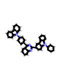 c1ccc(-n2c3ccccc3c3cc(-c4nc(-c5ccc(-n6c7ccccc7c7ccccc76)cc5)c5ccccc5n4)ccc32)cc1